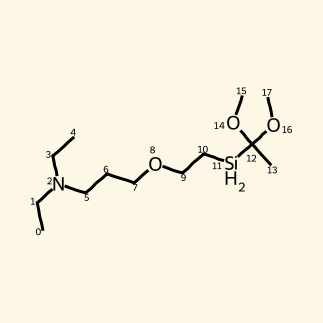 CCN(CC)CCCOCC[SiH2]C(C)(OC)OC